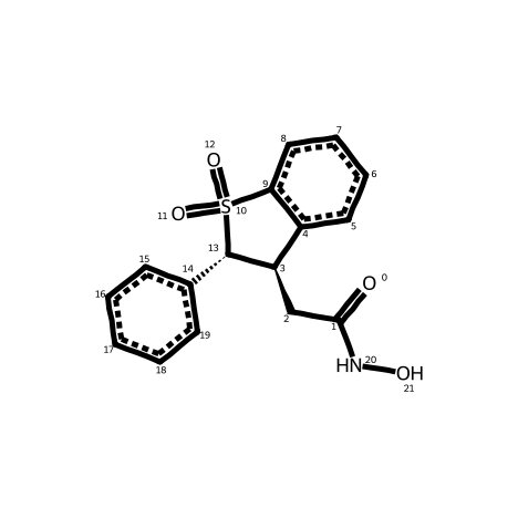 O=C(C[C@@H]1c2ccccc2S(=O)(=O)[C@H]1c1ccccc1)NO